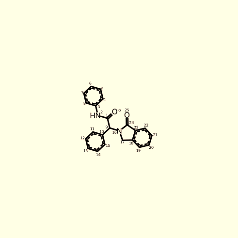 O=C(Nc1ccccc1)C(c1ccccc1)N1Cc2ccccc2C1=O